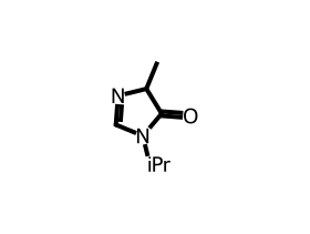 CC1N=CN(C(C)C)C1=O